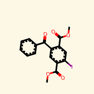 COC(=O)c1cc(C(=O)c2ccccc2)c(C(=O)OC)cc1I